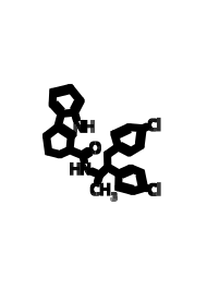 CC(NC(=O)C1CCCc2c1[nH]c1ccccc21)C(Cc1ccc(Cl)cc1)c1ccc(Cl)cc1